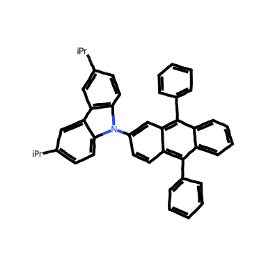 CC(C)c1ccc2c(c1)c1cc(C(C)C)ccc1n2-c1ccc2c(-c3ccccc3)c3ccccc3c(-c3ccccc3)c2c1